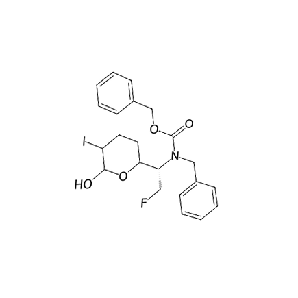 O=C(OCc1ccccc1)N(Cc1ccccc1)[C@H](CF)C1CCC(I)C(O)O1